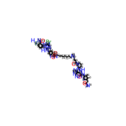 Cc1c(CC(=O)N(C)C)ccc(NC(=O)c2nn([C@@H]3CCCN(C(=O)/C=C/CN(C)CCCCCCCCNS(=O)(=O)c4ccc(Nc5ncc(Br)c(Nc6cccc(F)c6C(N)=O)n5)cc4)C3)c3ncnc(N)c23)c1C